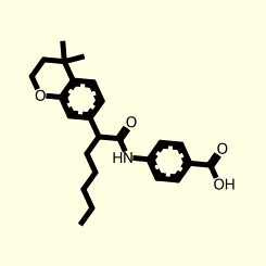 CCCCCC(C(=O)Nc1ccc(C(=O)O)cc1)c1ccc2c(c1)OCCC2(C)C